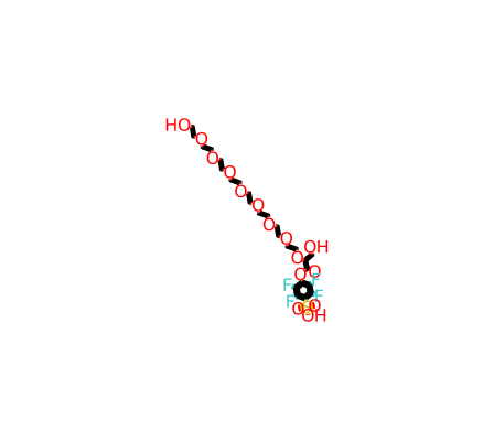 O=C(Oc1c(F)c(F)c(S(=O)(=O)O)c(F)c1F)C(CO)OCCOCCOCCOCCOCCOCCOCCOCCO